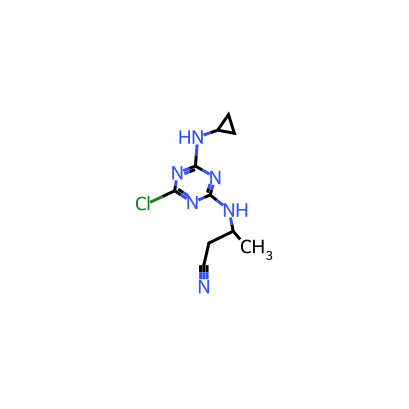 CC(CC#N)Nc1nc(Cl)nc(NC2CC2)n1